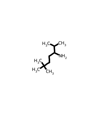 CC(C)C(N)CCC(C)(C)C